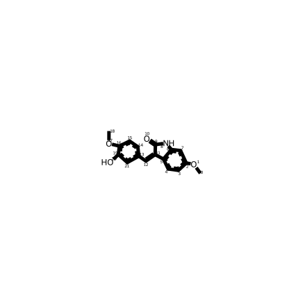 COc1ccc2c(c1)NC(=O)C2=Cc1ccc(OC)c(O)c1